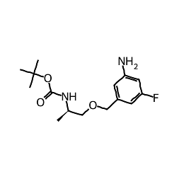 C[C@H](COCc1cc(N)cc(F)c1)NC(=O)OC(C)(C)C